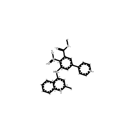 COC(=O)c1cc(-c2ccncc2)cc(Nc2cc(C)nc3ccccc23)c1[N+](=O)[O-]